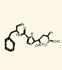 CC(=O)OC(CC(C(C)C)N(C)C=O)C1NC(C(=O)NC(Cc2ccccc2)CC(C)C)=CS1